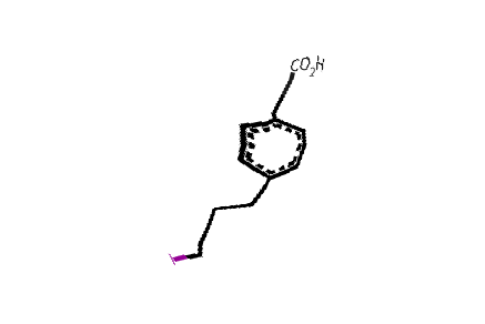 O=C(O)c1ccc(CCCI)cc1